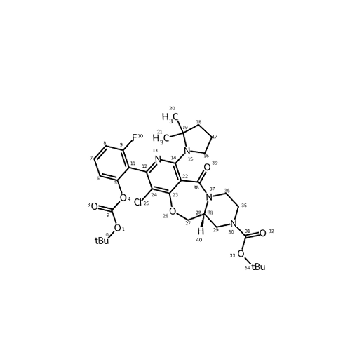 CC(C)(C)OC(=O)Oc1cccc(F)c1-c1nc(N2CCCC2(C)C)c2c(c1Cl)OC[C@H]1CN(C(=O)OC(C)(C)C)CCN1C2=O